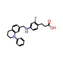 O=C(O)CCc1ccc(NCc2ccc3c(c2)N(c2ccccc2)CCC3)cc1F